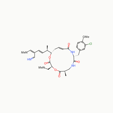 CN/C=C(C=N)/C=C/[C@@H](C)[C@@H]1C/C=C/C(=O)N[C@H](Cc2ccc(OC)c(Cl)c2)C(=O)NC[C@@H](C)C(=O)O[C@@H](CNC)C(=O)O1